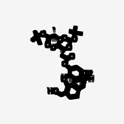 C[C@H](OC(=O)[C@H](CC(=O)OC1=CC[C@@]2(O)[C@H]3Cc4ccc(CO)c5c4[C@@]2(CCN3C)[C@H]1O5)OC(=O)OC(C)(C)C)C(=O)OC(C)(C)C